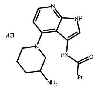 CC(C)C(=O)Nc1c[nH]c2nccc(N3CCCC(N)C3)c12.Cl